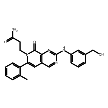 Cc1ccccc1-c1cc2cnc(Nc3cccc(CO)c3)nc2c(=O)n1CCC(N)=O